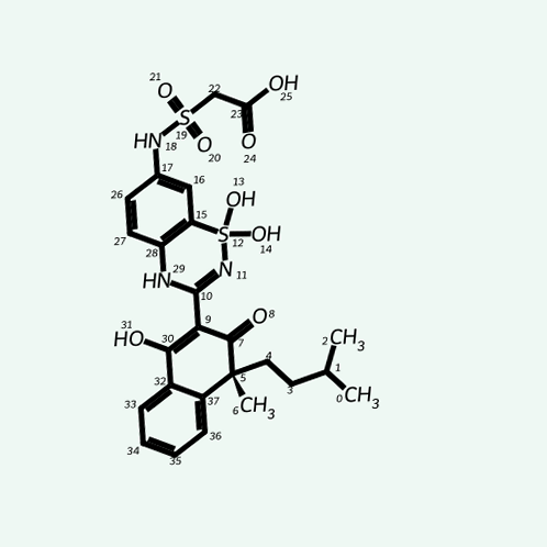 CC(C)CC[C@@]1(C)C(=O)C(C2=NS(O)(O)c3cc(NS(=O)(=O)CC(=O)O)ccc3N2)=C(O)c2ccccc21